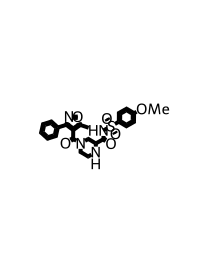 COc1ccc(S(=O)(=O)NC(=O)C2CN(C(=O)c3c(-c4ccccc4)noc3C)CCN2)cc1